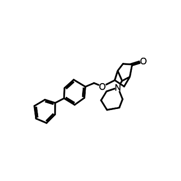 O=C1CC2C(OCc3ccc(-c4ccccc4)cc3)CC1C2N1CCCCC1